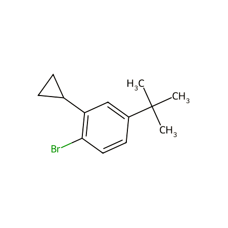 CC(C)(C)c1ccc(Br)c(C2CC2)c1